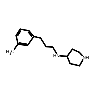 Cc1cccc(CCCNC2CCNCC2)c1